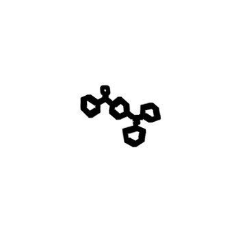 O=C(c1ccccc1)c1ccc([S+](c2ccccc2)c2ccccc2)cc1